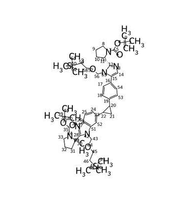 CC(C)(C)OC(=O)N1CCC[C@H]1c1ncc(-c2ccc(C3CC3c3ccc4nc([C@@]5(C)CCCN5C(=O)OC(C)(C)C)n(COCC[Si](C)(C)C)c4c3)cc2)n1COCC[Si](C)(C)C